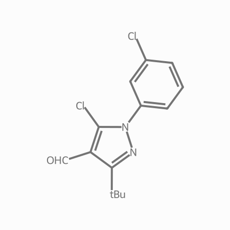 CC(C)(C)c1nn(-c2cccc(Cl)c2)c(Cl)c1C=O